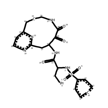 CC(C)CC(NS(=O)(=O)c1ccccc1)C(=O)NC1Cc2nccc(n2)CCCNC(=O)C1=O